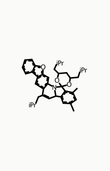 Cc1cc(C)c2c(c1)C1C=C(CC(C)C)c3cc4c(cc3N1C21OC(CC(C)C)CC(CC(C)C)O1)oc1ccccc14